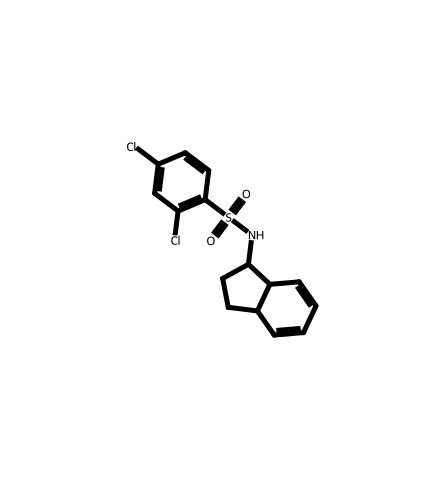 O=S(=O)(NC1CCC2C=CC=CC21)c1ccc(Cl)cc1Cl